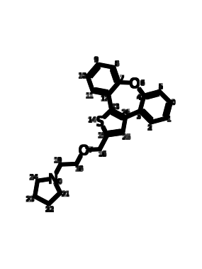 c1ccc2c(c1)Oc1ccccc1-c1sc(COCCN3CCCC3)cc1-2